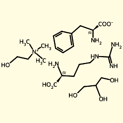 C[N+](C)(C)CCO.N=C(N)NCCC[C@H](N)C(=O)O.N[C@@H](Cc1ccccc1)C(=O)[O-].OCC(O)CO